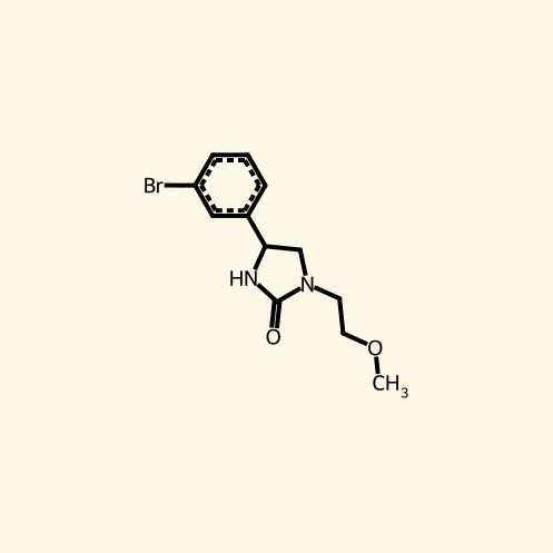 COCCN1CC(c2cccc(Br)c2)NC1=O